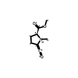 COC(=O)[C@@H]1CCC(=C=O)N1C